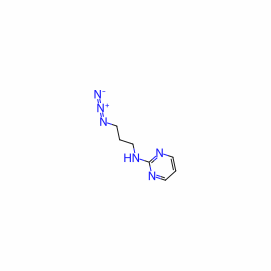 [N-]=[N+]=NCCCNc1ncccn1